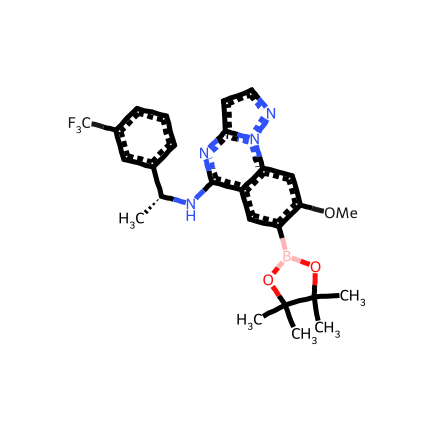 COc1cc2c(cc1B1OC(C)(C)C(C)(C)O1)c(N[C@H](C)c1cccc(C(F)(F)F)c1)nc1ccnn12